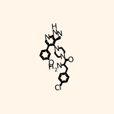 COc1cccc(-c2cnc3[nH]ncc3c2N2CCN(C(=O)C(N)Cc3ccc(Cl)cc3)CC2)c1